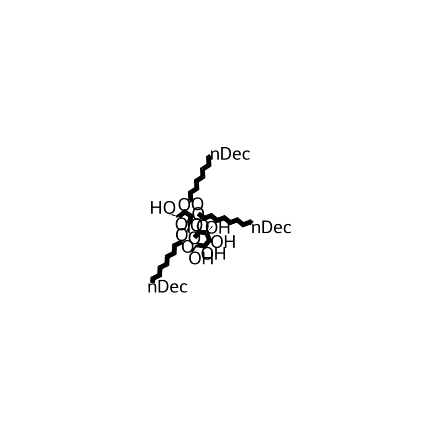 CCCCCCCCCCCCCCCCCC(=O)OC[C@@]1(O[C@H]2O[C@H](CO)[C@@H](O)[C@H](O)[C@H]2O)O[C@H](CO)[C@@H](OC(=O)CCCCCCCCCCCCCCCCC)[C@@H]1OC(=O)CCCCCCCCCCCCCCCCC